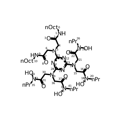 CCCCCCCCNC(=O)CN(CC(=O)NCCCCCCCC)c1nc(N(CC(=O)N(O)CCC)CC(=O)N(O)CCC)nc(N(CC(=O)N(O)CCC)CC(=O)N(O)CCC)n1